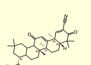 CC1(C)CC2C(CC[C@]3(C)C2C(=O)C=C2[C@@]4(C)C=C(C#N)C(=O)C(C)(C)[C@@H]4CC[C@]23C)[C@H](C(=O)O)C1